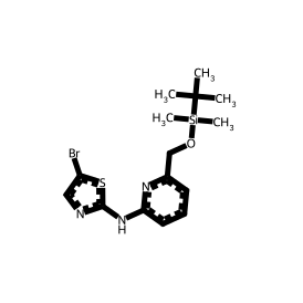 CC(C)(C)[Si](C)(C)OCc1cccc(Nc2ncc(Br)s2)n1